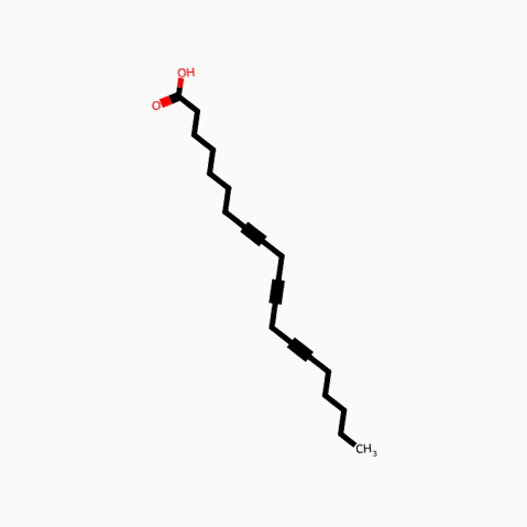 CCCCCC#CCC#CCC#CCCCCCCC(=O)O